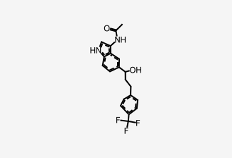 CC(=O)Nc1c[nH]c2ccc(C(O)CCc3ccc(C(F)(F)F)cc3)cc12